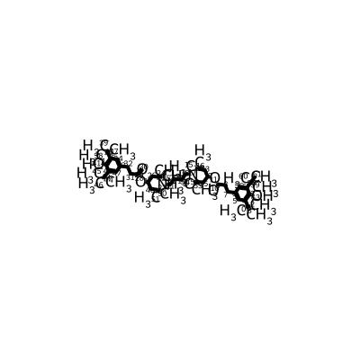 CC(C)(C)c1cc(CCC(=O)OC2CC(C)(C)N(CCCCN3C(C)(C)CC(OC(=O)CCc4cc(C(C)(C)C)c(O)c(C(C)(C)C)c4)CC3(C)C)C(C)(C)C2)cc(C(C)(C)C)c1O